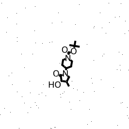 CC1CN(C2CCN(C(=O)OC(C)(C)C)CC2)C(=O)C1O